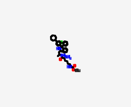 CC(CC(C)NC(c1ccccc1)(c1ccc(C2CCCCCC2)cc1)c1ccccc1Cl)NC(=O)[C@H](N)CCCCNC(=O)OC(C)(C)C